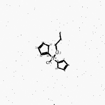 CCC[O][Zr]([Cl])([C]1=CC=CC1)[C]1=CC=CC1